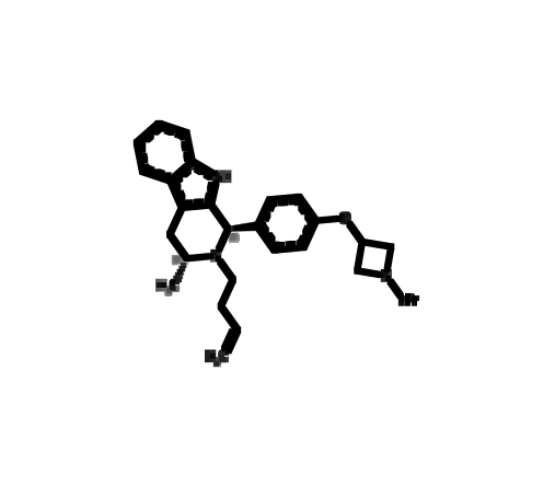 C=CCCN1[C@H](c2ccc(OC3CN(CCC)C3)cc2)c2[nH]c3ccccc3c2C[C@H]1C